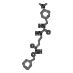 CN(C)c1ccc(CNC(=O)NCCCC(=O)NOCc2ccccc2)cc1